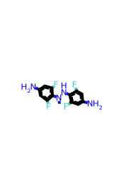 CN(Nc1c(F)cc(N)cc1F)c1c(F)cc(N)cc1F